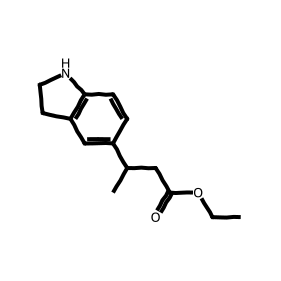 CCOC(=O)CC(C)c1ccc2c(c1)CCN2